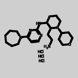 Cl.Cl.Cl.NCCC1C(Nc2nccc(N3CCCCCC3)n2)CCCN1C1CCOCC1